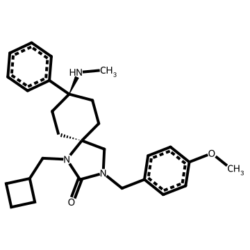 CN[C@]1(c2ccccc2)CC[C@]2(CC1)CN(Cc1ccc(OC)cc1)C(=O)N2CC1CCC1